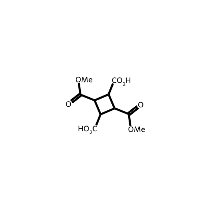 COC(=O)C1C(C(=O)O)C(C(=O)OC)C1C(=O)O